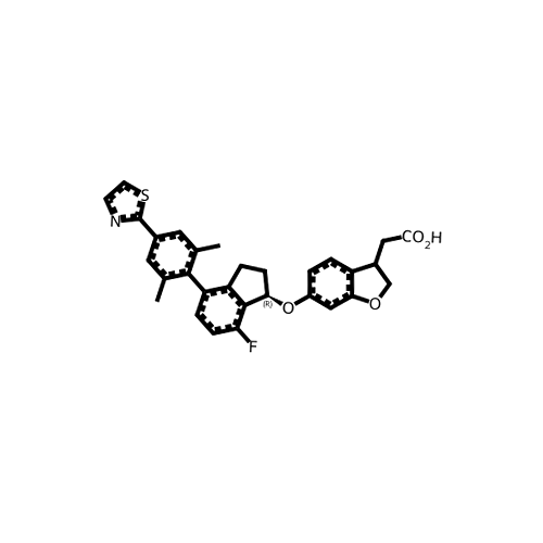 Cc1cc(-c2nccs2)cc(C)c1-c1ccc(F)c2c1CC[C@H]2Oc1ccc2c(c1)OCC2CC(=O)O